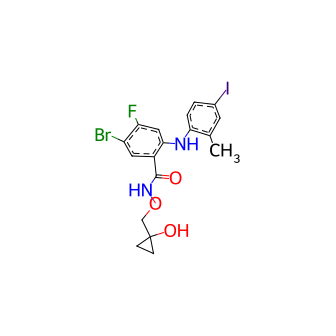 Cc1cc(I)ccc1Nc1cc(F)c(Br)cc1C(=O)NOCC1(O)CC1